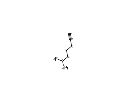 C#CCCCC(F)C(C)C